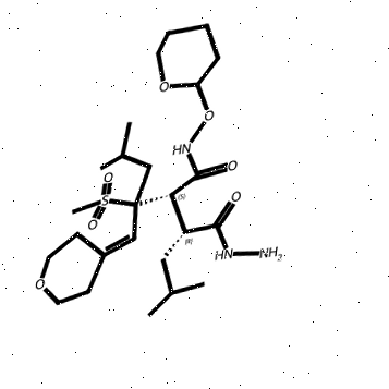 CC(C)C[C@@H](C(=O)NN)[C@@H](C(=O)NOC1CCCCO1)C(C=C1CCOCC1)(CC(C)C)S(C)(=O)=O